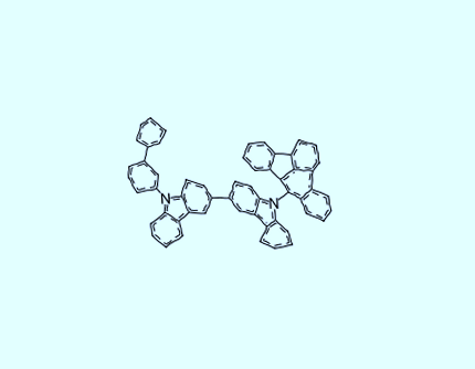 c1ccc(-c2cccc(-n3c4ccccc4c4cc(-c5ccc6c(c5)c5ccccc5n6-c5c6c7c(cccc7c7ccccc57)-c5ccccc5-6)ccc43)c2)cc1